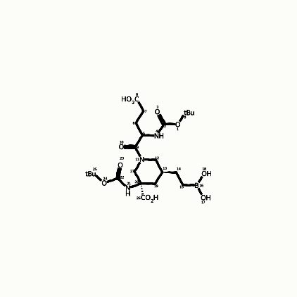 CC(C)(C)OC(=O)NC(CCC(=O)O)C(=O)N1C[C@@H](CCB(O)O)C[C@](NC(=O)OC(C)(C)C)(C(=O)O)C1